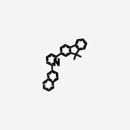 CC1(C)c2ccccc2-c2ccc(-c3cccc(-c4ccc5ccccc5c4)n3)cc21